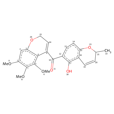 COc1cc2c(c(OC)c1OC)C(C(=O)c1ccc3c(c1O)C=CC(C)O3)=CCO2